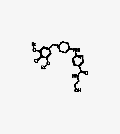 CCOc1cc(CN2CCC(Nc3ccc(C(=O)NCCO)cn3)CC2)cc(OCC)c1Cl